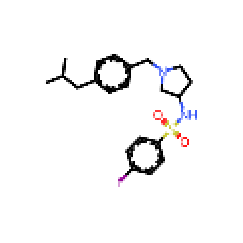 CC(C)Cc1ccc(CN2CC[C@@H](NS(=O)(=O)c3ccc(I)cc3)C2)cc1